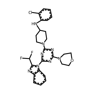 FC(F)c1nc2ccccc2n1-c1nc(N2CCOCC2)nc(N2CCC(Nc3ccccc3Cl)CC2)n1